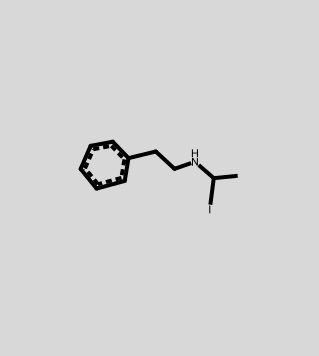 CC(I)NCCc1ccccc1